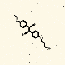 CCOc1ccc(C(C#N)=C(C#N)c2ccc(OCCCO)cc2)cc1